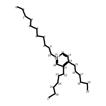 CCCCCCCCCCC[n+]1ccc(CCCCCC)c(CCCCCC)c1